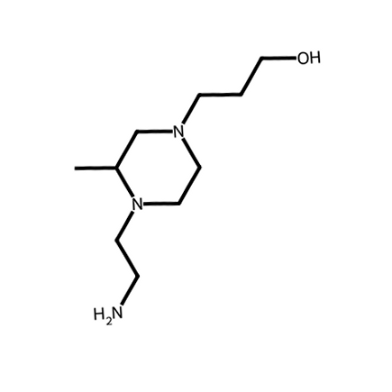 CC1CN(CCCO)CCN1CCN